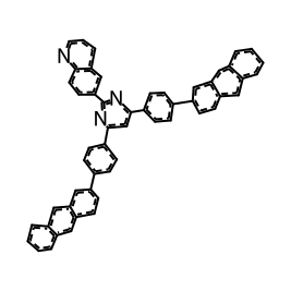 c1ccc2cc3cc(-c4ccc(-c5cc(-c6ccc(-c7ccc8cc9ccccc9cc8c7)cc6)nc(-c6ccc7ncccc7c6)n5)cc4)ccc3cc2c1